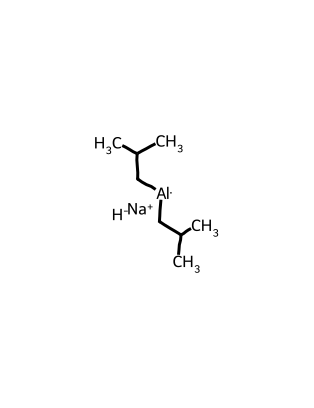 CC(C)[CH2][Al][CH2]C(C)C.[H-].[Na+]